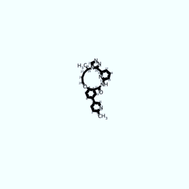 Cc1ccc(-c2ccc3c(c2)C(=O)Nc2cccc(n2)-c2nncn2[C@H](C)CCCO3)cn1